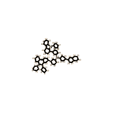 c1ccc(-c2c(-c3ccccc3)c3cc(-c4cccc(N(c5ccc(-c6ccc7ccccc7c6)cc5)c5cccc(-c6cccc7c8ccccc8n(-c8ccccc8)c67)c5)c4)ccc3c3ccccc23)cc1